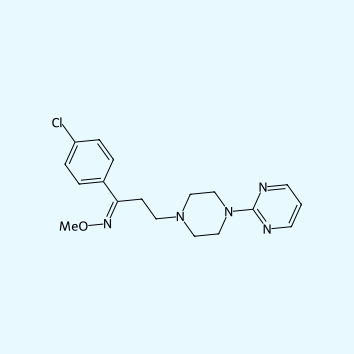 CON=C(CCN1CCN(c2ncccn2)CC1)c1ccc(Cl)cc1